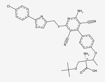 CC(Oc1ccc(-c2c(C#N)c(N)nc(SCc3csc(-c4ccc(Cl)cc4)n3)c2C#N)cc1)[C@](N)(COC(C)(C)C)C(=O)O